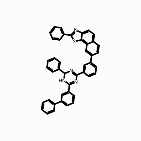 c1ccc(-c2cccc(C3=NC(c4cccc(-c5ccc6ccc7nc(-c8ccccc8)sc7c6c5)c4)=NC(c4ccccc4)N3)c2)cc1